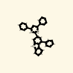 c1ccc(-c2cc(-c3ccccc3)nc(-c3cc(-c4ccccc4)c4c(c3)oc3ccccc34)n2)cc1